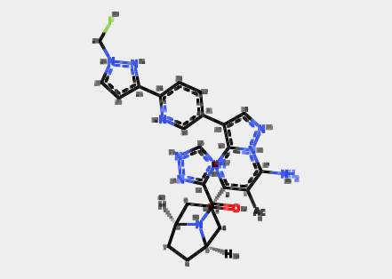 CC(=O)c1c([C@@H]2C[C@H]3CC[C@@H](C2)N3C(=O)c2nnc[nH]2)nc2c(-c3ccc(-c4ccn(CF)n4)nc3)cnn2c1N